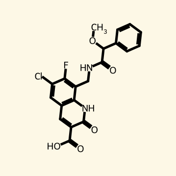 COC(C(=O)NCc1c(F)c(Cl)cc2cc(C(=O)O)c(=O)[nH]c12)c1ccccc1